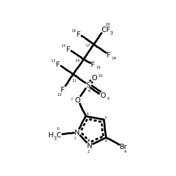 Cn1nc(Br)cc1OS(=O)(=O)C(F)(F)C(F)(F)C(F)(F)C(F)(F)F